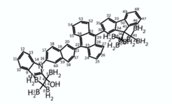 BC(B)(B)C(B)(O)c1nc2ccccc2n1-c1ccc2cc(-c3c4ccccc4c(-c4ccc5c(c4)C(C(B)(B)B)(C(B)(B)B)c4ccccc4-5)c4ccccc34)ccc2c1